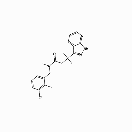 Cc1c(Cl)cccc1CN(C)C(=O)CC(C)(C)c1n[nH]c2ncccc12